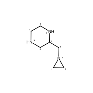 C1CNC(CN2CC2)CN1